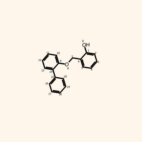 Oc1ccccc1COc1ccccc1-c1ccccc1